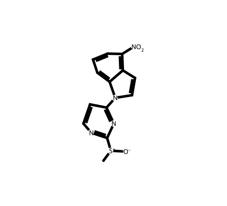 C[S+]([O-])c1nccc(-n2ccc3c([N+](=O)[O-])cccc32)n1